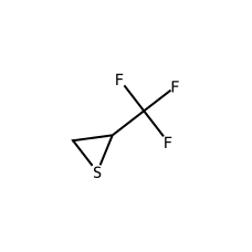 FC(F)(F)C1CS1